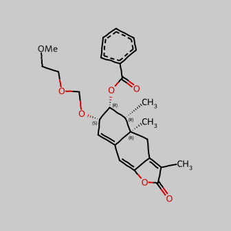 COCCOCO[C@H]1C=C2C=C3OC(=O)C(C)=C3C[C@]2(C)[C@@H](C)[C@H]1OC(=O)c1ccccc1